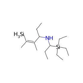 CCC(NC(CC)[Si](CC)(CC)CC)C(C)=C(C)[SiH3]